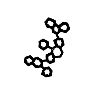 c1ccc(-c2cc3ccccc3cc2-c2ccc3c(c2)N(c2ccccc2)c2cc(-c4cc5ccccc5c5ccccc45)ccc2CC3)cc1